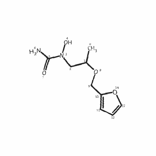 CC(CN(O)C(N)=O)OCc1ccco1